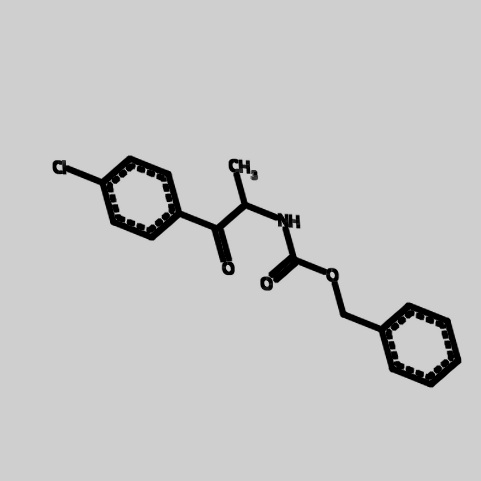 CC(NC(=O)OCc1ccccc1)C(=O)c1ccc(Cl)cc1